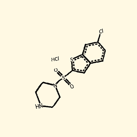 Cl.O=S(=O)(c1cc2ccc(Cl)cc2s1)N1CCNCC1